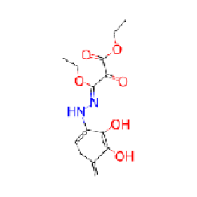 C=C1CC=C(NN=C(OCC)C(=O)C(=O)OCC)C(O)=C1O